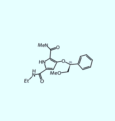 CCNC(=O)c1cc(O[C@H](COC)c2ccccc2)c(C(=O)NC)[nH]1